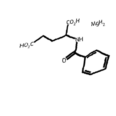 O=C(O)CCC(NC(=O)c1ccccc1)C(=O)O.[MgH2]